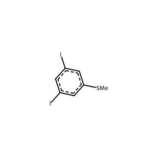 CSc1cc(I)cc(I)c1